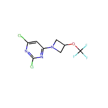 FC(F)(F)OC1CN(c2cc(Cl)nc(Cl)n2)C1